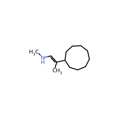 CN/C=C(\C)C1CCCCCCCC1